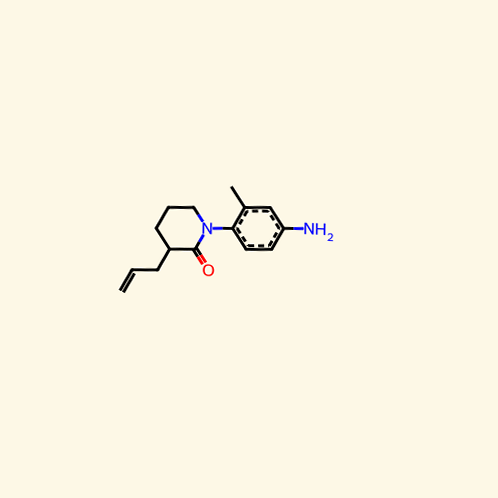 C=CCC1CCCN(c2ccc(N)cc2C)C1=O